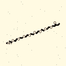 CCC(=O)CCOCCOCCOCCOCCOCCOCCOCCOCCNC